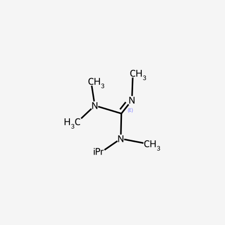 C/N=C(\N(C)C)N(C)C(C)C